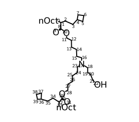 CCCCCCCCC(CCC1CCC1)C(=O)OCCCCCCN(CCCCO)CCCCCCOC(=O)C(CCCCCCCC)CCC1CCC1